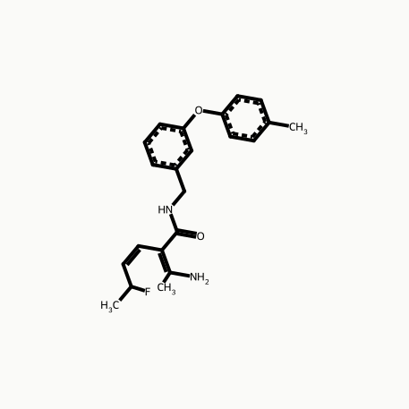 C/C(N)=C(\C=C/C(C)F)C(=O)NCc1cccc(Oc2ccc(C)cc2)c1